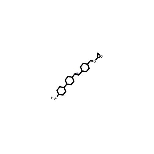 CC1CCC(C2CCC(/C=C/C3CCC(COC4CO4)CC3)CC2)CC1